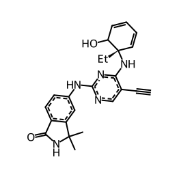 C#Cc1cnc(Nc2ccc3c(c2)C(C)(C)NC3=O)nc1N[C@@]1(CC)C=CC=CC1O